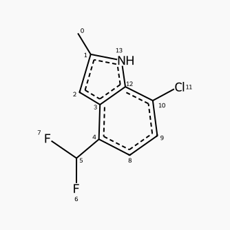 Cc1cc2c(C(F)F)ccc(Cl)c2[nH]1